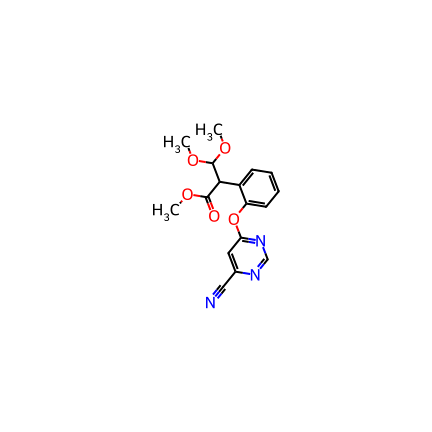 COC(=O)C(c1ccccc1Oc1cc(C#N)ncn1)C(OC)OC